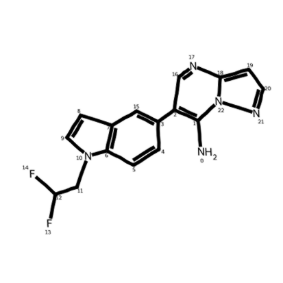 Nc1c(-c2ccc3c(ccn3CC(F)F)c2)cnc2ccnn12